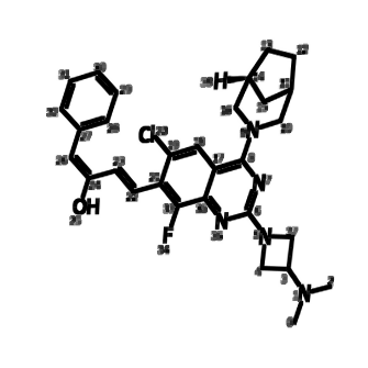 CN(C)C1CN(c2nc(N3CC4CC[C@H](C4)C3)c3cc(Cl)c(/C=C/C(O)=C\c4ccccc4)c(F)c3n2)C1